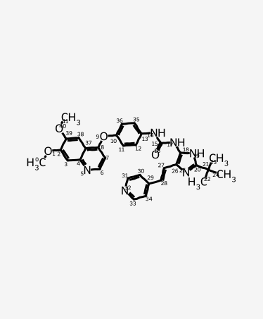 COc1cc2nccc(Oc3ccc(NC(=O)Nc4[nH]c(C(C)(C)C)nc4/C=C/c4ccncc4)cc3)c2cc1OC